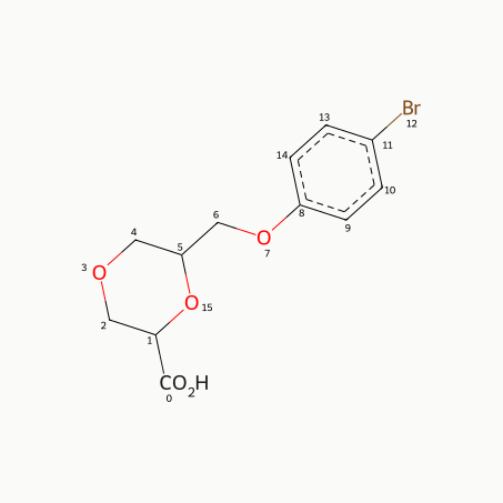 O=C(O)C1COCC(COc2ccc(Br)cc2)O1